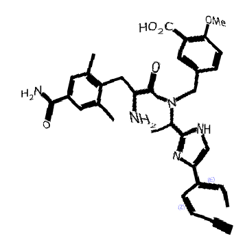 C#C/C=C\C(=C/C)c1c[nH]c(C(C)N(Cc2ccc(OC)c(C(=O)O)c2)C(=O)C(N)Cc2c(C)cc(C(N)=O)cc2C)n1